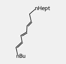 CCCCC=CC=C/C=C/CCCCCCCC